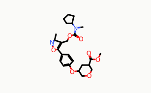 COC(=O)C1COCC(Oc2ccc(-c3onc(C)c3COC(=O)N(C)C3CCCC3)cc2)C1